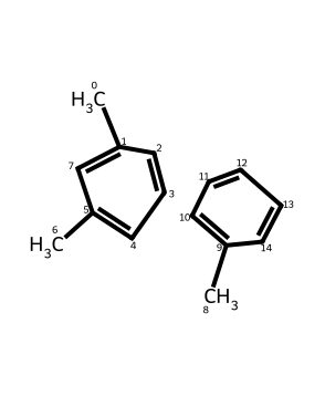 Cc1cccc(C)c1.Cc1ccccc1